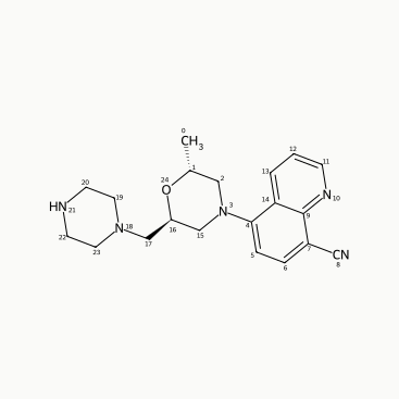 C[C@@H]1CN(c2ccc(C#N)c3ncccc23)C[C@@H](CN2CCNCC2)O1